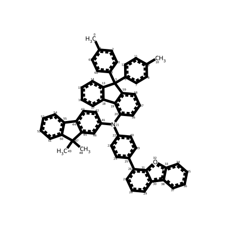 Cc1ccc(C2(c3ccc(C)cc3)c3ccccc3-c3c(N(c4ccc(-c5cccc6c5oc5ccccc56)cc4)c4ccc5c(c4)C(C)(C)c4ccccc4-5)cccc32)cc1